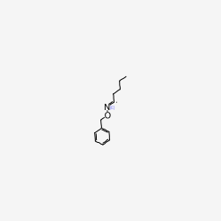 CCCC/[C]=N/OCc1ccccc1